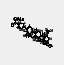 COC(=O)c1ccc(C2=CC[C@]3(C)[C@H]4CC[C@@H]5[C@H]6[C@H](C7CC7)CC[C@]6(N=C=O)CC[C@@]5(C)[C@]4(C)CC[C@H]3C2(C)C)cc1